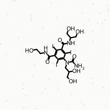 NC(=O)N(CC(O)CO)c1c(I)c(C(=O)NCCO)c(I)c(C(=O)NC(CO)CO)c1I